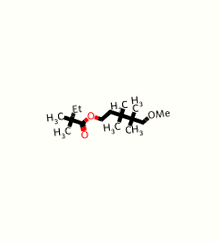 CCC(C)(C)C(=O)OCCC(C)(C)C(C)(C)COC